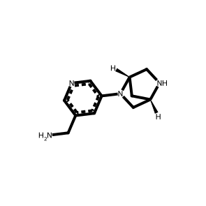 NCc1cncc(N2C[C@@H]3C[C@H]2CN3)c1